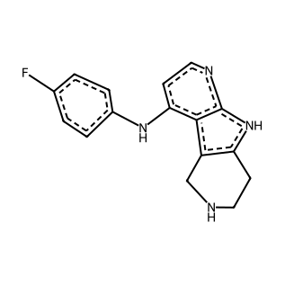 Fc1ccc(Nc2ccnc3[nH]c4c(c23)CNCC4)cc1